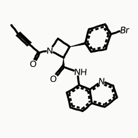 CC#CC(=O)N1C[C@@H](c2ccc(Br)cc2)[C@H]1C(=O)Nc1cccc2cccnc12